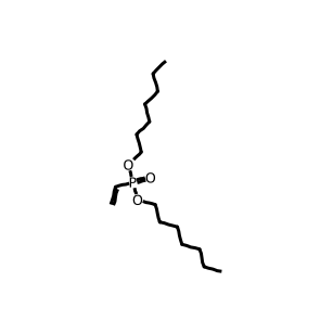 C=CP(=O)(OCCCCCCC)OCCCCCCC